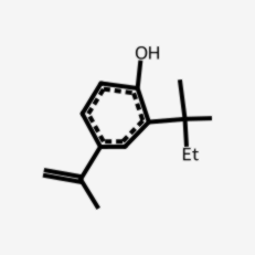 C=C(C)c1ccc(O)c(C(C)(C)CC)c1